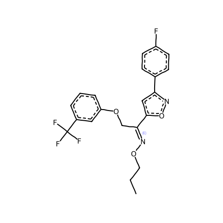 CCCO/N=C(\COc1cccc(C(F)(F)F)c1)c1cc(-c2ccc(F)cc2)no1